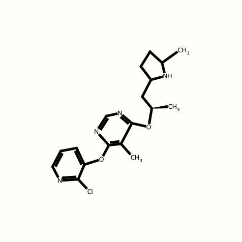 Cc1c(Oc2cccnc2Cl)ncnc1O[C@H](C)CC1CCC(C)N1